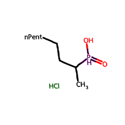 CCCCCCCC(C)[PH](=O)O.Cl